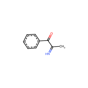 CC(=N)C(=O)c1ccccc1